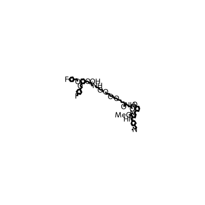 COc1nc(-c2cccc3c2OC(CNC(=O)CCCCOCCOCCOCCOCCNC[C@@H](O)COc2ccc(OCc4ccc(F)cc4)c(OCc4ccc(F)cc4)c2)CO3)ccc1Nc1ccc(CN(C)C)cc1